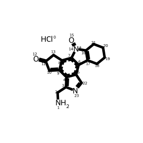 Cl.NCC1=c2c(c3c(c4c2=CC(=O)C4)[N+](=O)C2=C3CCCC2)C=N1